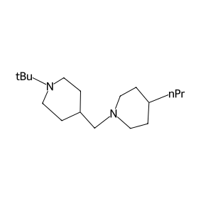 CCCC1CCN(CC2CCN(C(C)(C)C)CC2)CC1